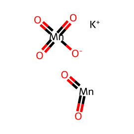 [K+].[O]=[Mn](=[O])(=[O])[O-].[O]=[Mn]=[O]